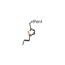 C/C=C/c1ccc(CCCCCC)s1